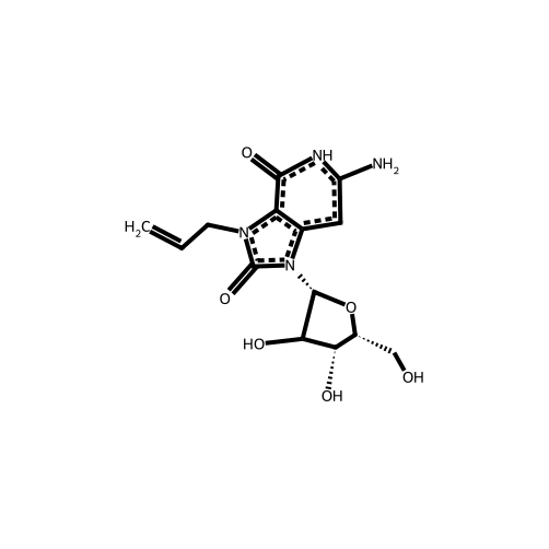 C=CCn1c(=O)n([C@@H]2O[C@H](CO)[C@H](O)C2O)c2cc(N)[nH]c(=O)c21